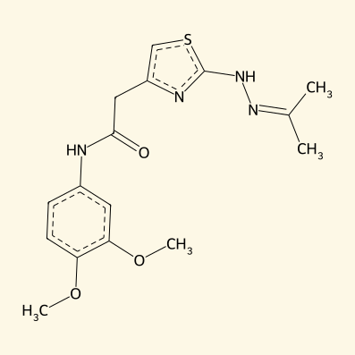 COc1ccc(NC(=O)Cc2csc(NN=C(C)C)n2)cc1OC